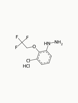 Cl.NNc1cccc(Cl)c1OCC(F)(F)F